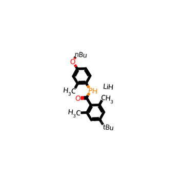 CCCCOc1ccc(PC(=O)c2c(C)cc(C(C)(C)C)cc2C)c(C)c1.[LiH]